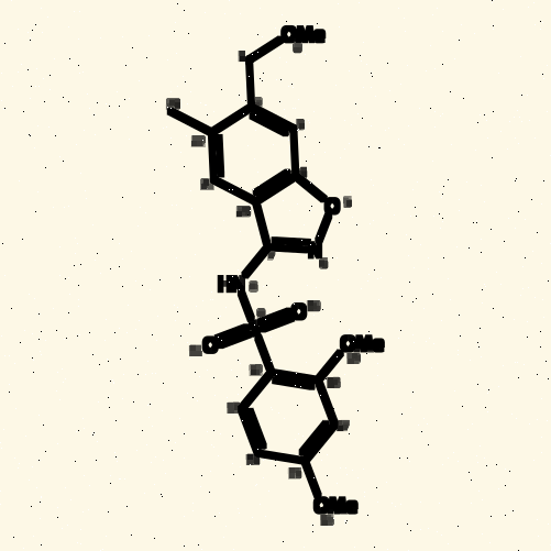 COCc1cc2onc(NS(=O)(=O)c3ccc(OC)cc3OC)c2cc1C